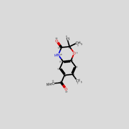 CCC1(C)Oc2cc(C(F)(F)F)c(C(=O)OC)cc2NC1=O